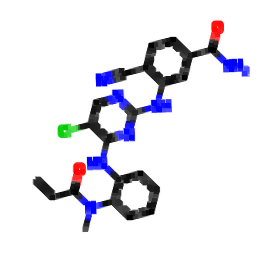 C=CC(=O)N(C)c1ccccc1Nc1nc(Nc2cc(C(N)=O)ccc2C#N)ncc1Cl